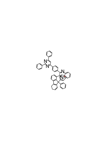 C1=CC2=C(CC1)c1cccc(-c3nc4ccccc4nc3-c3ccc(-c4cc(-c5ccccc5)nc(-c5ccccc5)n4)cc3)c1C2(c1ccccc1)c1ccccc1